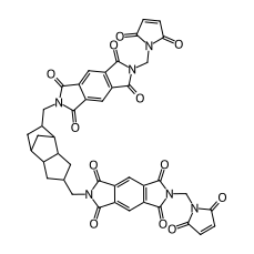 O=C1C=CC(=O)N1Cn1c(=O)c2cc3c(=O)n(CC4CC5C6CC(Cn7c(=O)c8cc9c(=O)n(CN%10C(=O)C=CC%10=O)c(=O)c9cc8c7=O)C(C6)C5C4)c(=O)c3cc2c1=O